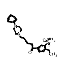 CCc1ccc(C(=O)CCCCN2CCN(c3ccccc3)CC2)cc1S(N)(=O)=S